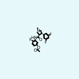 CC(=O)Oc1ccc(F)c(NC(=O)[C@H]2CN(C)C[C@@H]2c2cc(F)cc(F)c2)c1